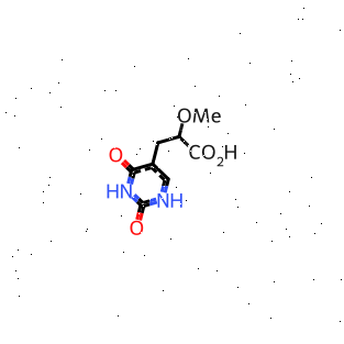 COC(Cc1c[nH]c(=O)[nH]c1=O)C(=O)O